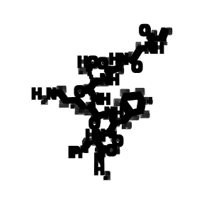 C=CC(=O)NCC(=O)NCC(=O)N[C@@H](CO)C(=O)N[C@@H](CCCCN)C(=O)N[C@@H](Cc1ccccc1)C(=O)N[C@@H](CC(C)C)C(N)=O